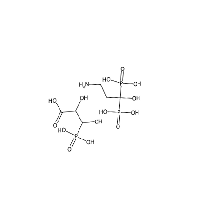 NCCC(O)(P(=O)(O)O)P(=O)(O)O.O=C(O)C(O)C(O)P(=O)(O)O